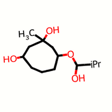 CC(C)C(O)OC1CCCC(O)CC(C)(O)C1